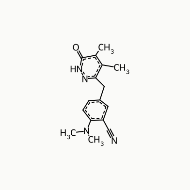 Cc1c(Cc2ccc(N(C)C)c(C#N)c2)n[nH]c(=O)c1C